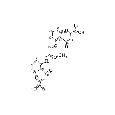 COC(COc1cccc2oc(C(=O)O)cc(=O)c12)COc1cccc2oc(C(=O)O)cc(=O)c12